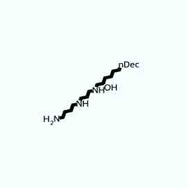 CCCCCCCCCCCCCCC(O)CNCCCNCCCCN